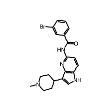 CN1CCC(c2c[nH]c3ccc(NC(=O)c4cccc(Br)c4)nc23)CC1